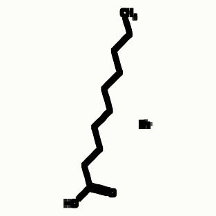 CCCCCCCCCC(=O)O.[Rh]